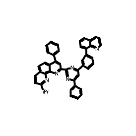 CC(C)c1ccc2ccc3c(-c4ccccc4)cc(-c4nc(-c5ccccc5)cc(-c5cccc(-c6cccc7cccnc67)c5)n4)nc3c2n1